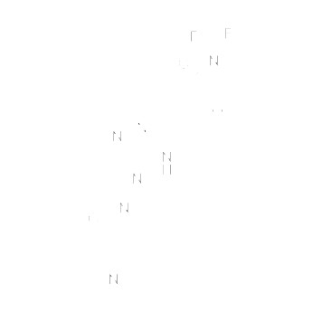 Cc1cc(Nc2ncnc3ccc(N4CC/C(=C\CN(C)C)C4=O)nc23)ccc1Oc1ccn(C(F)F)c(=O)c1